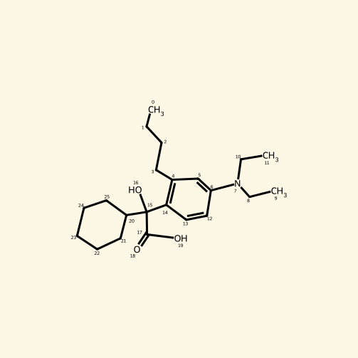 CCCCc1cc(N(CC)CC)ccc1C(O)(C(=O)O)C1CCCCC1